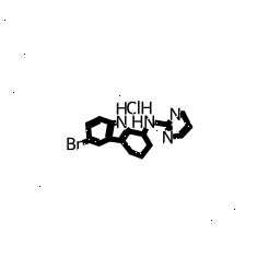 Brc1ccc2[nH]c3c(c2c1)CCCC3Nc1ncccn1.Cl